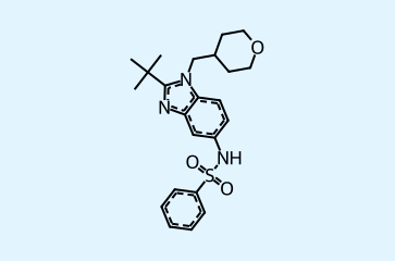 CC(C)(C)c1nc2cc(NS(=O)(=O)c3ccccc3)ccc2n1CC1CCOCC1